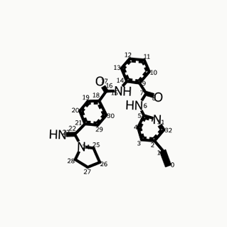 C#Cc1ccc(NC(=O)c2ccccc2NC(=O)c2ccc(C(=N)N3CCCC3)cc2)nc1